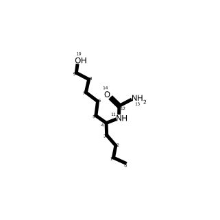 CCCCC(CCCCCO)NC(N)=O